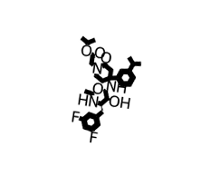 CC(=O)N[C@@H](Cc1cc(F)cc(F)c1)[C@H](O)CNC1(c2cccc(C(C)C)c2)CCN(CC(=O)OC(C)C)C(=O)C1